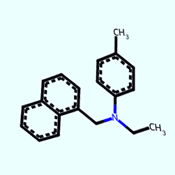 CCN(Cc1cccc2ccccc12)c1ccc(C)cc1